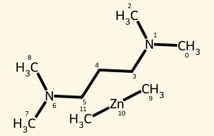 CN(C)CCCN(C)C.[CH3][Zn][CH3]